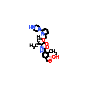 Cc1c(C(=O)NC(C(=O)OCc2cccc(N3CCNCC3)n2)C(C)C)ccc2c1B(O)OC2